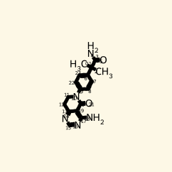 CC(C)(C(N)=O)c1ccc(N2CCc3ncnc(N)c3C2=O)cc1